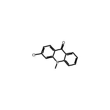 Cn1c2ccccc2c(=O)c2ccc(Cl)cc21